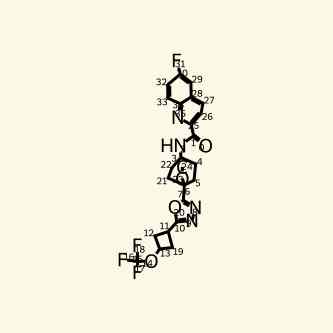 O=C(NC12CCC(c3nnc(C4CC(OC(F)(F)F)C4)o3)(CC1)OC2)c1ccc2cc(F)ccc2n1